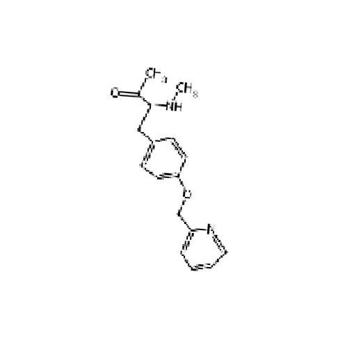 CNC(Cc1ccc(OCc2ccccn2)cc1)C(C)=O